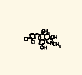 CN1CC[C@@]2(c3cccc(O)c3)C[C@H](N(C)C(=O)Cc3ccc(Cl)c(Cl)c3)CC[C@]2(O)C1